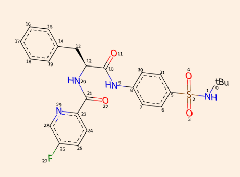 CC(C)(C)NS(=O)(=O)c1ccc(NC(=O)[C@H](Cc2ccccc2)NC(=O)c2ccc(F)cn2)cc1